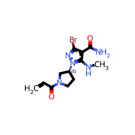 C=CC(=O)N1CC[C@H](n2nc(Br)c(C(N)=O)c2NC)C1